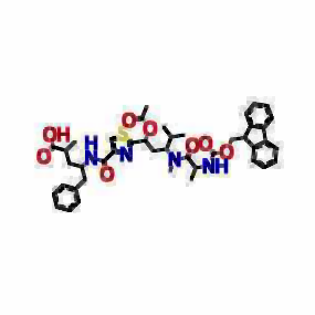 CC(=O)OC(CC(C(C)C)N(C)C(=O)C(C)NC(=O)OCC1c2ccccc2-c2ccccc21)c1nc(C(=O)NC(Cc2ccccc2)CC(C)C(=O)O)cs1